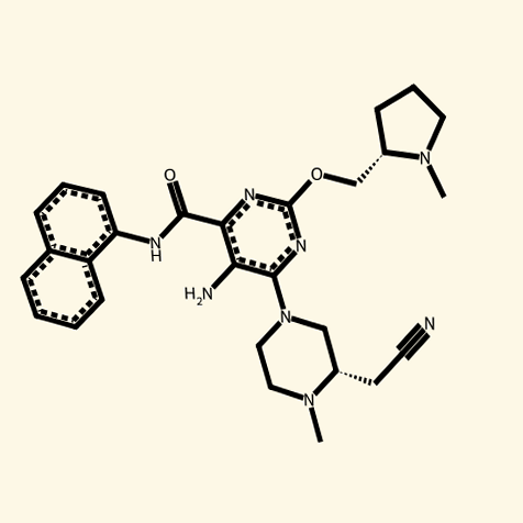 CN1CCC[C@H]1COc1nc(C(=O)Nc2cccc3ccccc23)c(N)c(N2CCN(C)[C@@H](CC#N)C2)n1